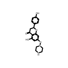 O=C1CC(c2ccc(O)cc2)Oc2cc(ON3CCNCC3)cc(O)c21